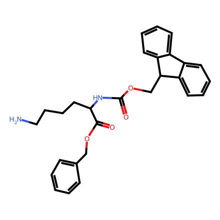 NCCCCC(NC(=O)OCC1c2ccccc2-c2ccccc21)C(=O)OCc1ccccc1